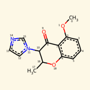 COc1cccc2c1C(=O)C(n1ccnc1)C(C)O2